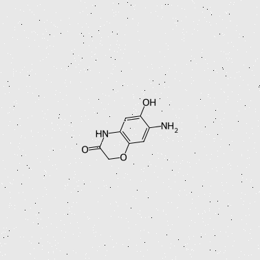 Nc1cc2c(cc1O)NC(=O)CO2